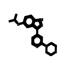 CC(C)Oc1ccc2[nH]nc(-c3ccnc(N4CCSCC4)c3)c2c1